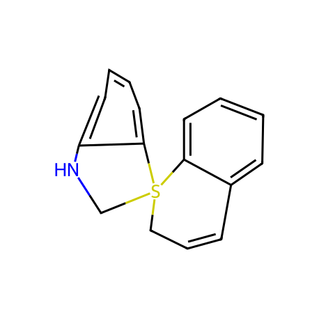 C1=Cc2ccccc2S2(C1)CNc1ccccc12